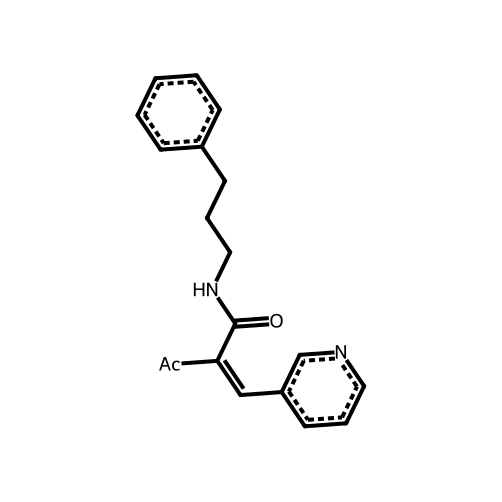 CC(=O)C(=Cc1cccnc1)C(=O)NCCCc1ccccc1